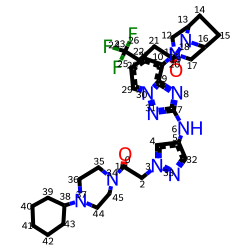 O=C(Cn1cc(Nc2nc3c(N4CC5CCC(C4)N5C(=O)CCC(F)(F)F)cccn3n2)cn1)N1CCN(C2CCCCC2)CC1